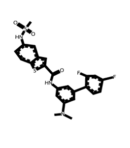 CN(C)c1cc(NC(=O)c2cc3cc(NS(C)(=O)=O)ccc3s2)cc(-c2ccc(F)cc2F)c1